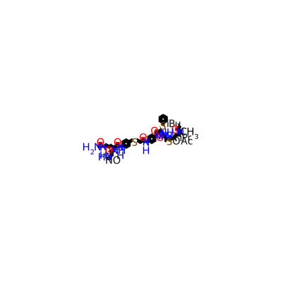 CC[C@H](C)CC(=O)N(C)[C@H](C[C@@H](OC(C)=O)c1nc(C(=O)N[C@@H](CSc2ccccc2)C(=O)Nc2ccc(NC(=O)CCSCc3ccc(NC(=O)[C@H](CCCNC(N)=O)NC(=O)CNN=O)cc3)cc2)cs1)C(C)C